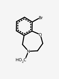 O=C(O)N1CCOc2c(Br)cccc2C1